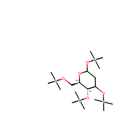 C[Si](C)(C)OC[C@H]1OC(O[Si](C)(C)C)CC(O[Si](C)(C)C)[C@@H]1O[Si](C)(C)C